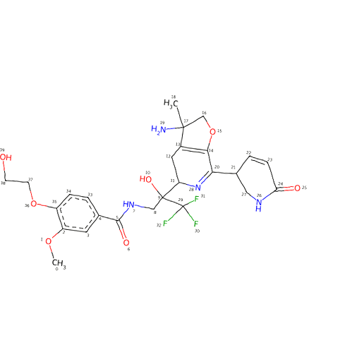 COc1cc(C(=O)NCC(O)(C2CC3=C(OCC3(C)N)C(C3C=CC(=O)NC3)=N2)C(F)(F)F)ccc1OCCO